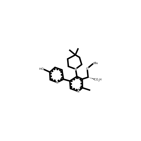 Cc1ncc(-c2ccc(O)cn2)c(N2CCC(C)(C)CC2)c1[C@H](OC(C)(C)C)C(=O)O